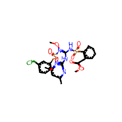 COC(=O)c1ccccc1S(=O)(=O)NC(Nc1nc(C)cc(C)n1)=[N+](OC)S(=O)(=O)c1cccc(Cl)c1